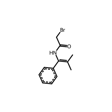 CC(C)=C(NC(=O)CBr)c1ccccc1